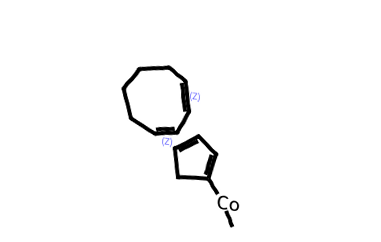 C1=C\CCCC\C=C/1.[CH3][Co][C]1=CC=CC1